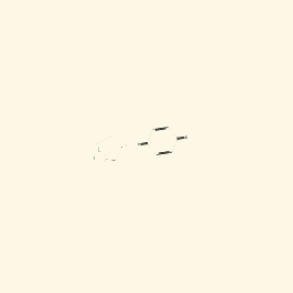 C1CCOC1.O=C1C=CC(=O)C=C1